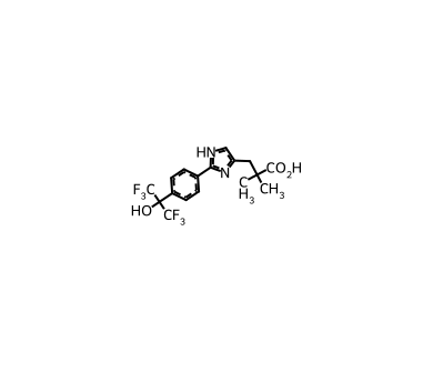 CC(C)(Cc1c[nH]c(-c2ccc(C(O)(C(F)(F)F)C(F)(F)F)cc2)n1)C(=O)O